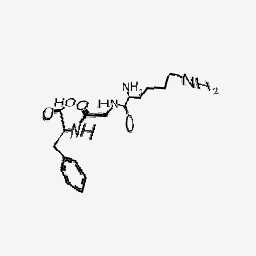 NCCCC[C@H](N)C(=O)NCC(=O)N[C@@H](Cc1ccccc1)C(=O)O